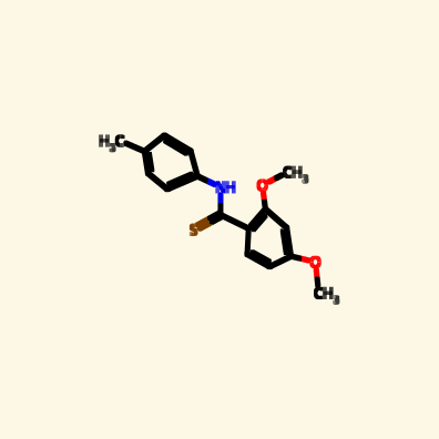 COc1ccc(C(=S)Nc2ccc(C)cc2)c(OC)c1